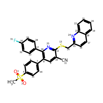 CS(=O)(=O)c1ccc(-c2cc(C#N)c(SCc3ccc4ccccc4n3)nc2-c2ccc(F)cc2)cc1